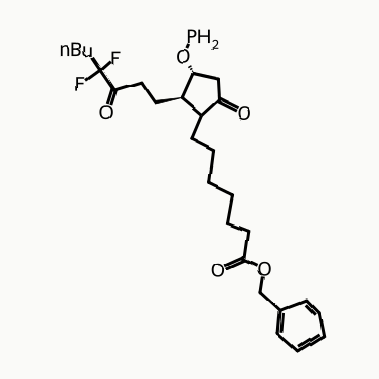 CCCCC(F)(F)C(=O)CC[C@@H]1C(CCCCCCC(=O)OCc2ccccc2)C(=O)C[C@H]1OP